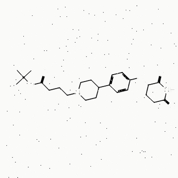 CC(C)(C)OC(=O)CCCN1CCC(c2ccc(O[C@H]3CCC(=O)NC3=O)cc2)CC1